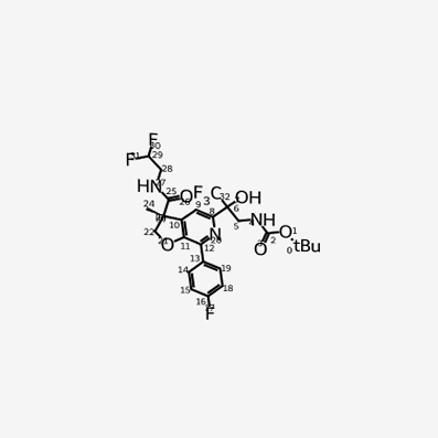 CC(C)(C)OC(=O)NCC(O)(c1cc2c(c(-c3ccc(F)cc3)n1)OC[C@]2(C)C(=O)NCC(F)F)C(F)(F)F